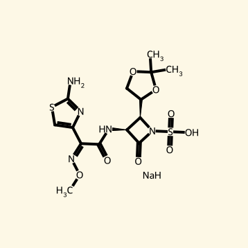 CO/N=C(\C(=O)N[C@@H]1C(=O)N(S(=O)(=O)O)[C@@H]1C1COC(C)(C)O1)c1csc(N)n1.[NaH]